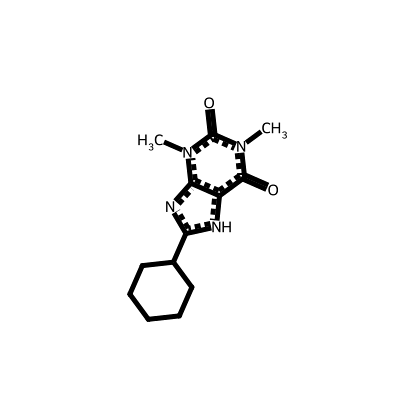 Cn1c(=O)c2[nH]c(C3CCCCC3)nc2n(C)c1=O